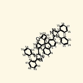 C1=CC2=C(CC1)c1ccc(-c3nnc(-c4ccccc4)n3-c3ccccc3)cc1C21c2ccccc2Oc2ccc(-c3nnc(-c4ccccc4)n3-c3ccccc3)cc21